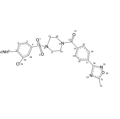 CC(=O)Nc1ccc(S(=O)(=O)N2CCN(C(=O)c3ccc(-c4noc(C)n4)cc3)CC2)cc1Cl